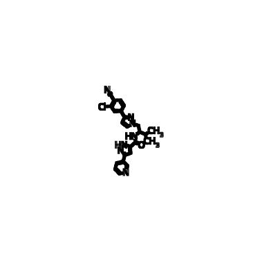 CC(C)C(Cn1ccc(-c2ccc(C#N)c(Cl)c2)n1)NC(=O)c1cc(-c2cccnc2)n[nH]1